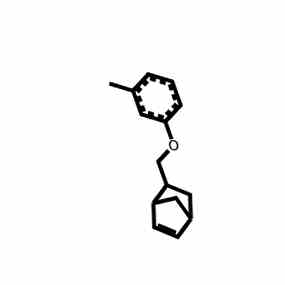 Cc1cccc(OCC2CC3C=CC2C3)c1